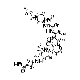 COc1nc(-c2ccnc(-c3cccc(NC(=O)c4nc5c(n4C)CCN(CCCF)C5)c3Cl)c2Cl)ccc1CNC12CC(C(=O)O)(C1)C2